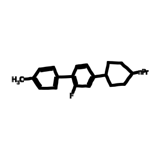 CCCC1CCC(c2ccc(-c3ccc(C)cc3)c(F)c2)CC1